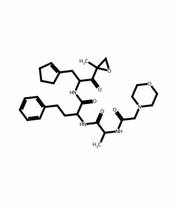 CC(NC(=O)CN1CCOCC1)C(=O)NC(CCc1ccccc1)C(=O)NC(CC1=CCCC1)C(=O)C1(C)CO1